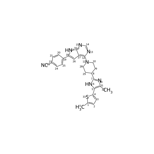 Cc1ccc(-c2[nH]c(C3CCN(c4ncnc5[nH]c(-c6ccc(C#N)cc6)cc45)CC3)nc2C)s1